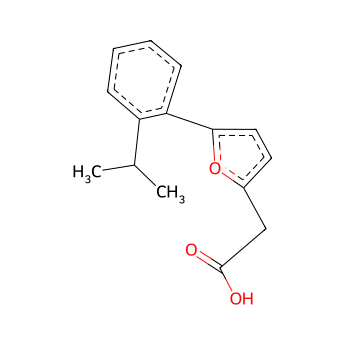 CC(C)c1ccccc1-c1ccc(CC(=O)O)o1